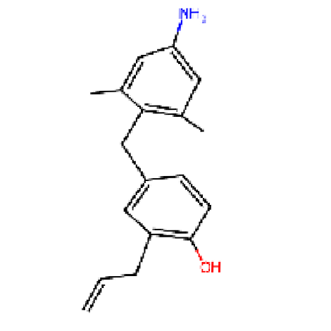 C=CCc1cc(Cc2c(C)cc(N)cc2C)ccc1O